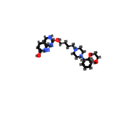 O=c1ccc2cnc(OCCCCN3CCN(c4cccc5c4OCCO5)CC3)nc2[nH]1